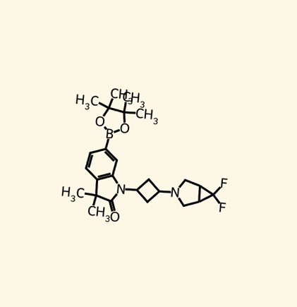 CC1(C)C(=O)N(C2CC(N3CC4C(C3)C4(F)F)C2)c2cc(B3OC(C)(C)C(C)(C)O3)ccc21